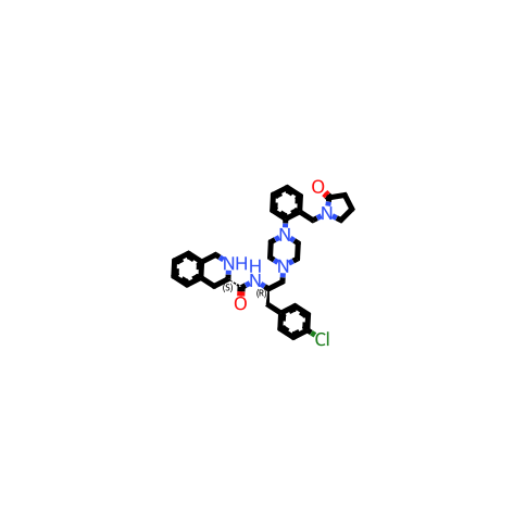 O=C(N[C@H](Cc1ccc(Cl)cc1)CN1CCN(c2ccccc2CN2CCCC2=O)CC1)[C@@H]1Cc2ccccc2CN1